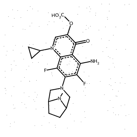 CN1C2CCC1CN(c1c(F)c(N)c3c(=O)c(OC(=O)O)cn(C4CC4)c3c1F)C2